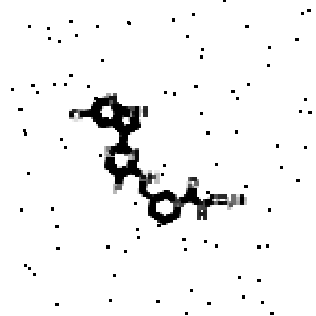 CCOC(=O)NC(=O)N1CCC[C@@H](CNc2nc(-c3c[nH]c4ncc(Cl)cc34)ncc2F)C1